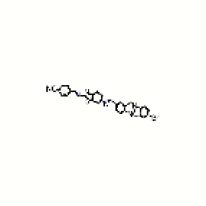 N#Cc1ccc(/C=C/c2nc3ccc(/N=C/c4ccc5c(c4)CN4CN5Cc5cc(Br)ccc54)cc3s2)cc1